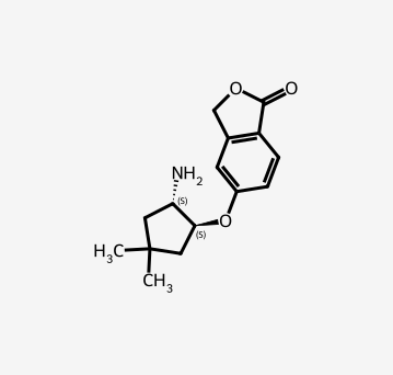 CC1(C)C[C@H](Oc2ccc3c(c2)COC3=O)[C@@H](N)C1